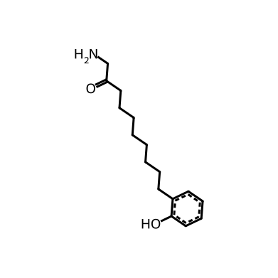 NCC(=O)CCCCCCCCc1ccccc1O